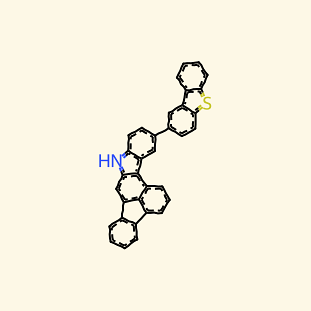 c1ccc2c(c1)-c1cccc3c1c-2cc1[nH]c2ccc(-c4ccc5sc6ccccc6c5c4)cc2c13